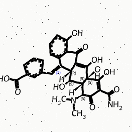 CN(C)[C@@H]1C(=O)C(C(N)=O)=C(O)[C@@]2(O)C(O)=C3C(=O)c4c(O)cccc4/C(=C\c4cccc(C(=O)O)c4)[C@H]3[C@H](O)[C@@H]12